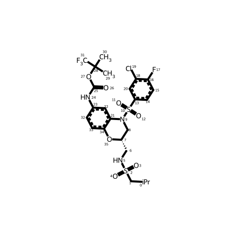 CC(C)CS(=O)(=O)NC[C@H]1CN(S(=O)(=O)c2ccc(F)c(Cl)c2)c2cc(NC(=O)OC(C)(C)C(F)(F)F)ccc2O1